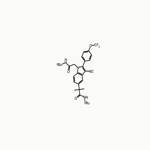 [C-]#[N+]c1c(-c2ccc(OC(F)(F)F)cc2)n(CC(=O)NC(C)(C)C)c2ccc(C(C)(C)C(=O)NC(C)(C)C)cc12